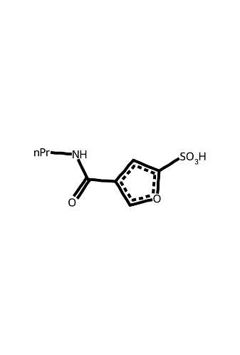 CCCNC(=O)c1coc(S(=O)(=O)O)c1